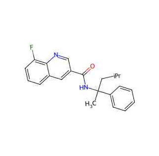 CC(C)CC(C)(NC(=O)c1cnc2c(F)cccc2c1)c1ccccc1